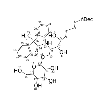 CCCCCCCCCCCCCCC(O)C(O)C(COC1OC(CO)C(O)C(O)C1O)NC(=O)C(C)(c1ccccc1)c1ccccc1